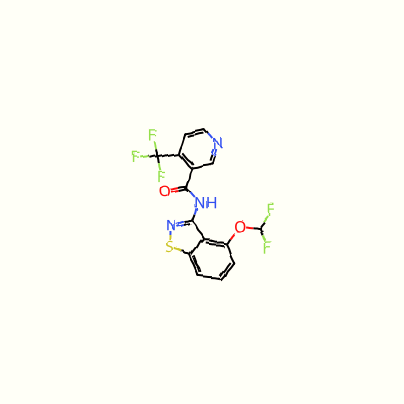 O=C(Nc1nsc2cccc(OC(F)F)c12)c1cnccc1C(F)(F)F